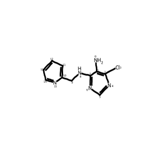 Nc1c(Cl)ncnc1NCc1ccccn1